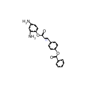 Nc1ccc(OC(=O)/C=C/c2ccc(OC(=O)c3ccccc3)cc2)c(N)c1